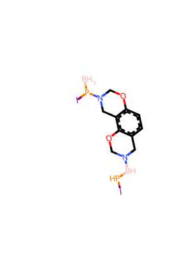 BP(I)N1COc2ccc3c(c2C1)OCN(BPI)C3